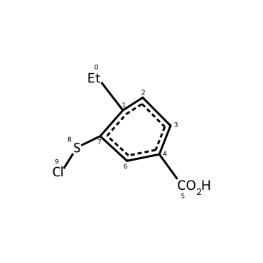 CCc1ccc(C(=O)O)cc1SCl